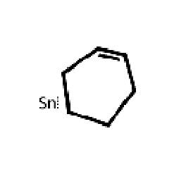 C1=CCCCC1.[Sn]